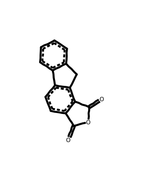 O=C1OC(=O)c2c1ccc1c2Cc2ccccc2-1